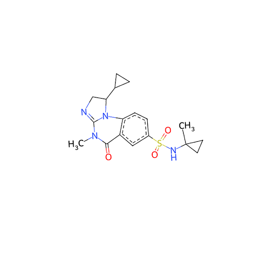 CN1C(=O)c2cc(S(=O)(=O)NC3(C)CC3)ccc2N2C1=NCC2C1CC1